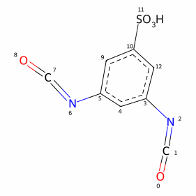 O=C=Nc1cc(N=C=O)cc(S(=O)(=O)O)c1